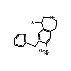 COc1cc2c(cc1Cc1ccccc1)[C@@H](C)CNCC2.Cl